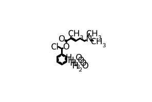 CC(=CCCN(C)C)C(=O)OC(Cl)c1ccccc1.O.O.O.O